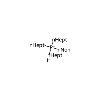 CCCCCCCCC[P+](CCCCCCC)(CCCCCCC)CCCCCCC.[I-]